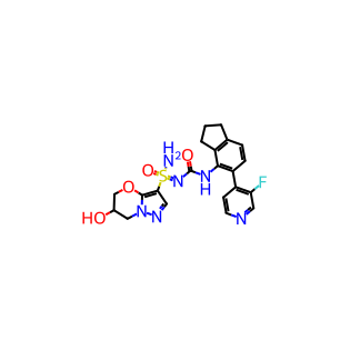 NS(=O)(=NC(=O)Nc1c(-c2ccncc2F)ccc2c1CCC2)c1cnn2c1OCC(O)C2